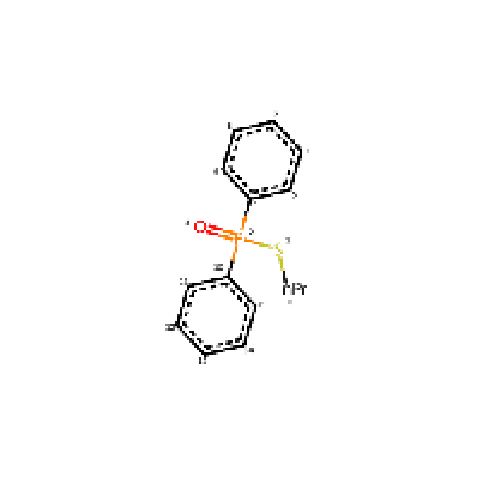 CCCSP(=O)(c1ccccc1)c1ccccc1